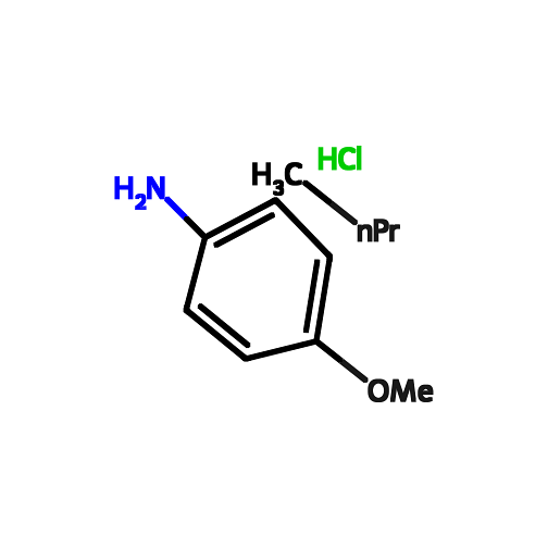 CCCC.COc1ccc(N)cc1.Cl